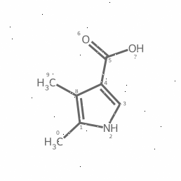 Cc1[nH]cc(C(=O)O)c1C